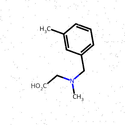 Cc1cccc(CN(C)CC(=O)O)c1